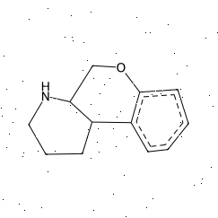 c1ccc2c(c1)OCC1NCCCC21